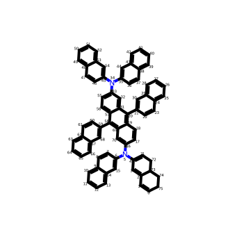 C1=CC2=CC(N(c3ccc4ccccc4c3)c3ccc4c(-c5ccc6ccccc6c5)c5cc(N(c6ccc7ccccc7c6)c6ccc7ccccc7c6)ccc5c(-c5ccc6ccccc6c5)c4c3)=CCC2CC1